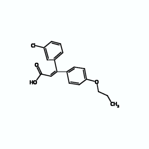 CCCOc1ccc(/C(=C/C(=O)O)c2cccc(Cl)c2)cc1